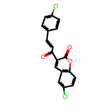 O=C(C=Cc1ccc(Cl)cc1)c1cc2cc(Cl)ccc2oc1=O